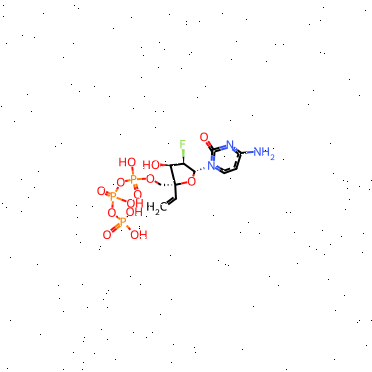 C=C[C@]1(COP(=O)(O)OP(=O)(O)OP(=O)(O)O)O[C@@H](n2ccc(N)nc2=O)[C@H](F)[C@@H]1O